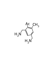 CC(=O)c1c(C)cc(CN)cc1CN